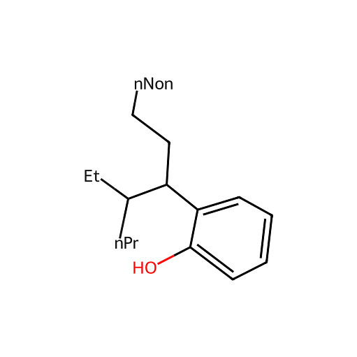 CCCCCCCCCCCC(c1ccccc1O)C(CC)CCC